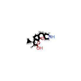 C[C@H](C(=O)O)[C@H](c1ccc2c(c1)OC1(CCNCC1)CC2)C1CC1